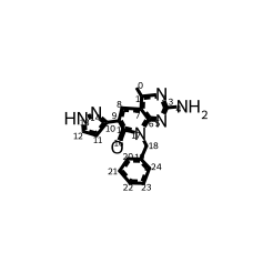 Cc1nc(N)nc2c1cc(-c1cc[nH]n1)c(=O)n2Cc1ccccc1